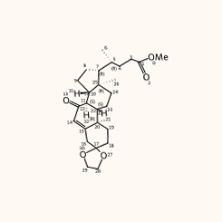 COC(=O)CC[C@@H](C)[C@H]1CC[C@H]2[C@@H]3C(=O)C=C4CC5(CC[C@]4(C)[C@H]3CC[C@]12C)OCCO5